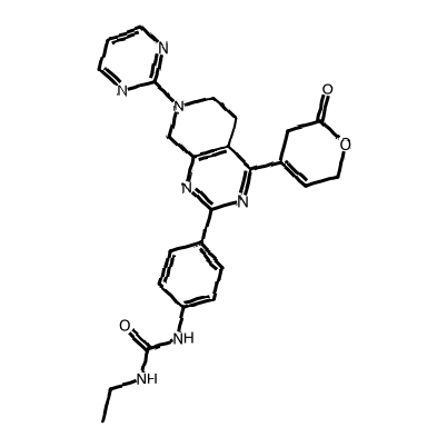 CCNC(=O)Nc1ccc(-c2nc3c(c(C4=CCOC(=O)C4)n2)CCN(c2ncccn2)C3)cc1